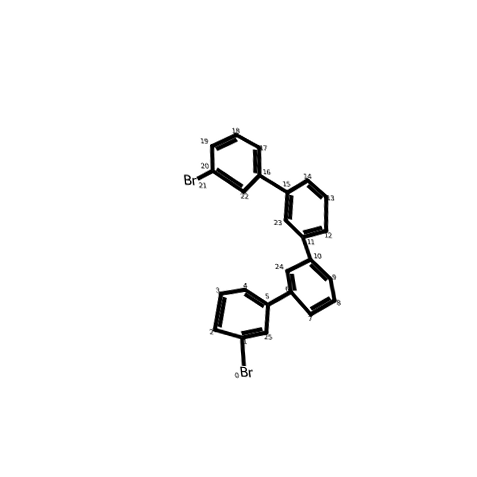 Brc1cccc(-c2cccc(-c3cccc(-c4cccc(Br)c4)c3)c2)c1